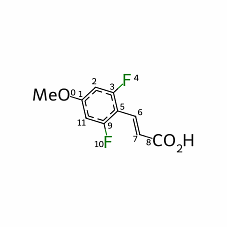 COc1cc(F)c(C=CC(=O)O)c(F)c1